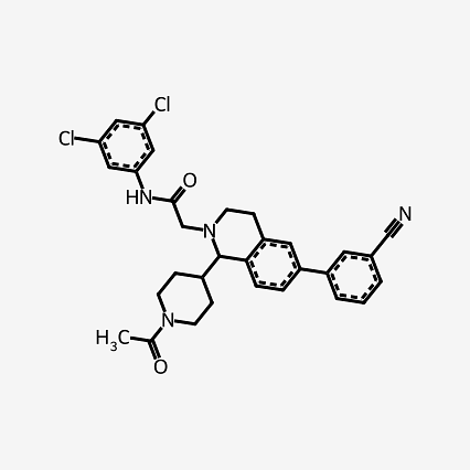 CC(=O)N1CCC(C2c3ccc(-c4cccc(C#N)c4)cc3CCN2CC(=O)Nc2cc(Cl)cc(Cl)c2)CC1